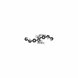 CCCCCCN1C(=O)C2=C(c3ccc(-c4ccc(-c5cccs5)s4)cc3)N(CCCCCC)C(=O)C2=C1c1ccc(-c2ccc(-c3cccs3)s2)cc1